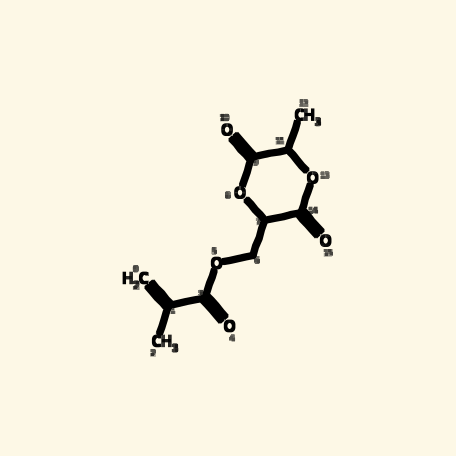 C=C(C)C(=O)OCC1OC(=O)C(C)OC1=O